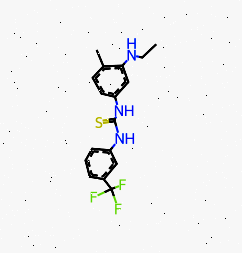 CCNc1cc(NC(=S)Nc2cccc(C(F)(F)F)c2)ccc1C